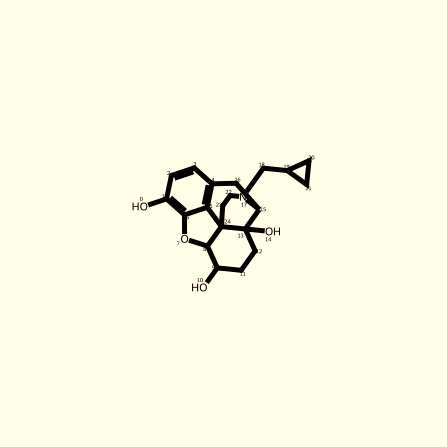 Oc1ccc2c3c1OC1C(O)CCC4(O)C(C2)N(CC2CC2)CCC314